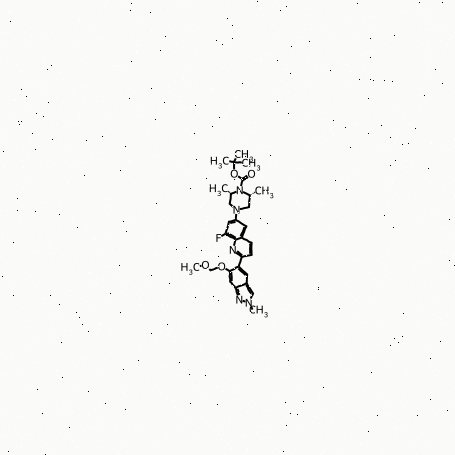 COCOc1cc2nn(C)cc2cc1-c1ccc2cc(N3C[C@@H](C)N(C(=O)OC(C)(C)C)[C@@H](C)C3)cc(F)c2n1